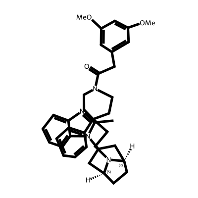 COc1cc(CC(=O)N2CCC(CCN3[C@@H]4CC[C@H]3CC(n3c(C)nc5ccccc53)C4)(c3ccccc3)CC2)cc(OC)c1